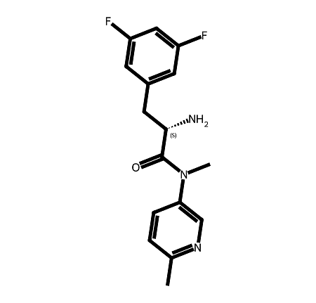 Cc1ccc(N(C)C(=O)[C@@H](N)Cc2cc(F)cc(F)c2)cn1